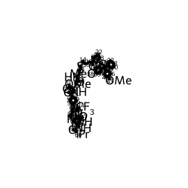 COC(=O)[C@H](CCC(=O)NCCSSC(C)CCC(=O)N1C[C@H](C)C[C@H]1COC(c1ccccc1)(c1ccc(OC)cc1)c1ccc(OC)cc1)NC(=O)c1ccc(N(Cc2cnc3nc(NC(=O)C(C)C)[nH]c(=O)c3n2)C(=O)C(F)(F)F)cc1